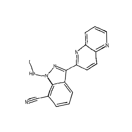 N#Cc1cccc2c(-c3ccc4ncccc4n3)nn(PI)c12